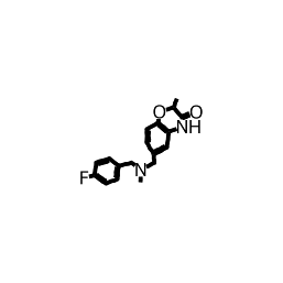 CC1Oc2ccc(CN(C)Cc3ccc(F)cc3)cc2NC1=O